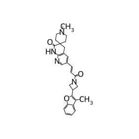 Cc1c(C2CN(C(=O)C=Cc3cnc4c(c3)CC3(CCN(C)CC3)C(=O)N4)C2)oc2ccccc12